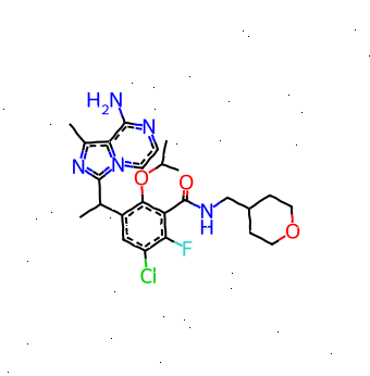 Cc1nc(C(C)c2cc(Cl)c(F)c(C(=O)NCC3CCOCC3)c2OC(C)C)n2ccnc(N)c12